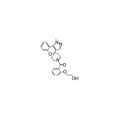 Cn1ncc2c1-c1ccccc1OC21CCN(C(=O)c2ccccc2OCCO)CC1